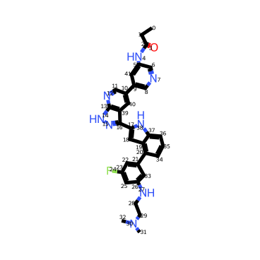 CCC(=O)Nc1cncc(-c2cnc3[nH]nc(-c4cc5c(-c6cc(F)cc(NCCN(C)C)c6)cccc5[nH]4)c3c2)c1